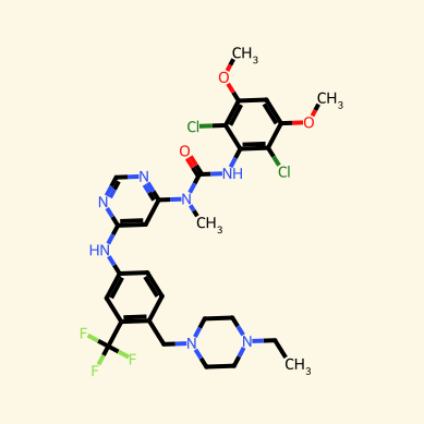 CCN1CCN(Cc2ccc(Nc3cc(N(C)C(=O)Nc4c(Cl)c(OC)cc(OC)c4Cl)ncn3)cc2C(F)(F)F)CC1